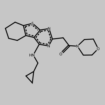 O=C(Cc1nc(NCC2CC2)c2c3c(sc2n1)CCCC3)N1CCOCC1